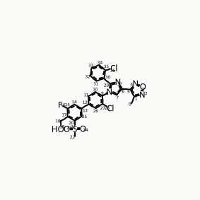 Cc1nonc1-c1cn(-c2ccc(-c3cc(F)c(CO)c(S(C)(=O)=O)c3)cc2Cl)c(-c2ccccc2Cl)n1